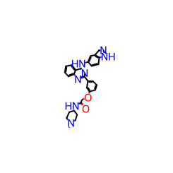 CN1CCC(NC(=O)COc2cccc(-c3nc(Nc4ccc5[nH]ncc5c4)c4ccccc4n3)c2)CC1